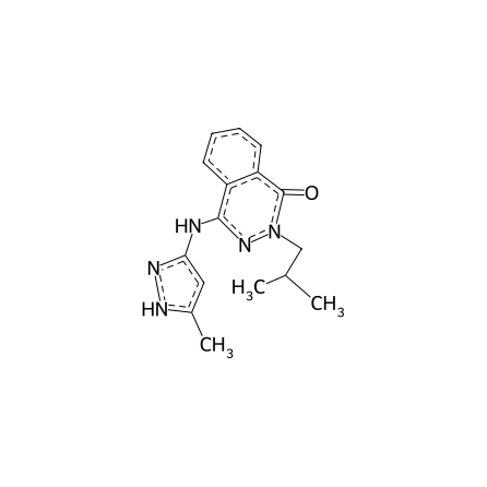 Cc1cc(Nc2nn(CC(C)C)c(=O)c3ccccc23)n[nH]1